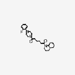 O=C(CCCCC(=O)N1CCCC2CCCC=C21)N1CCN(c2ccccc2F)CC1